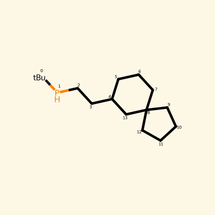 CC(C)(C)PCCC1CCCC2(CCCC2)C1